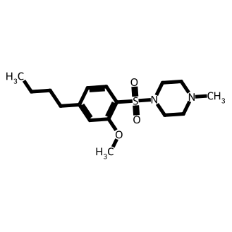 CCCCc1ccc(S(=O)(=O)N2CCN(C)CC2)c(OC)c1